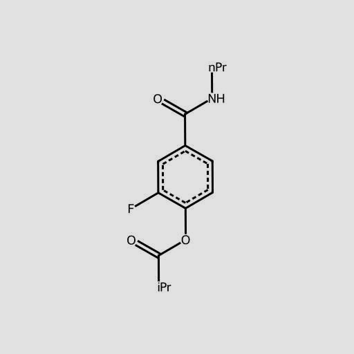 CCCNC(=O)c1ccc(OC(=O)C(C)C)c(F)c1